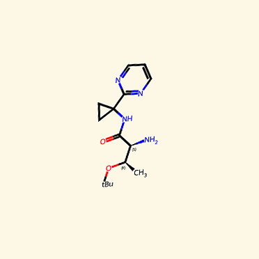 C[C@@H](OC(C)(C)C)[C@H](N)C(=O)NC1(c2ncccn2)CC1